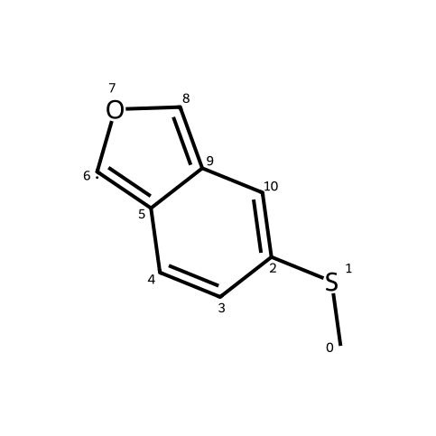 CSc1ccc2[c]occ2c1